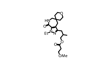 CCn1nc(CC(C)COC(=O)CCOC)c2c1C(=O)NCC1(CCOCC1)C2